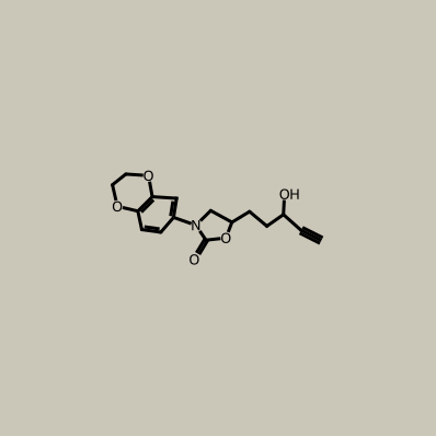 C#CC(O)CCC1CN(c2ccc3c(c2)OCCO3)C(=O)O1